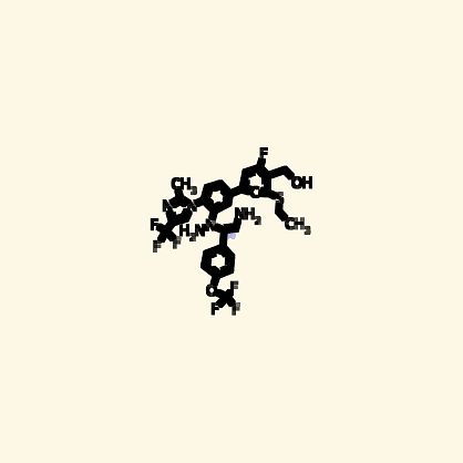 CCSc1cc(-c2ccc(-n3cc(C(F)(F)F)nc3C)c(N(N)/C(=C\N)c3ccc(OC(F)(F)F)cc3)c2)cc(F)c1CO